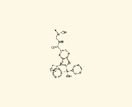 C[C@@H](O)CNC(=O)c1ccc2nc(C(O)(c3ccccc3)c3ccccc3)n(C3COC3)c2c1